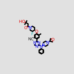 Cc1cc(-c2ncnc(N(c3ccccc3)N3CCN(C4COC4)CC3)n2)c(C#N)cc1O[C@H]1CCN(C(=O)CC(C)(C)O)C[C@H]1F